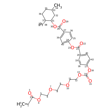 C=CC(=O)OCCOCCOCCOC(=O)Oc1ccc(C(=O)Oc2ccc(C(=O)OC3CC(C)CCC3C(C)C)cc2)cc1